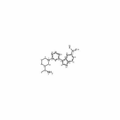 CC(N)C1CCCN(c2cc(-c3cnc4ccc(C(F)F)nn34)ncn2)C1